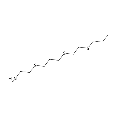 CCCSCCSCCCSCCN